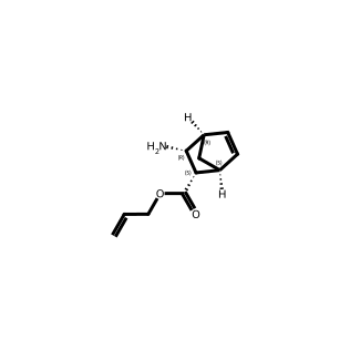 C=CCOC(=O)[C@@H]1[C@H](N)[C@H]2C=C[C@@H]1C2